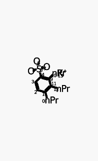 CCCc1ccc(S(=O)(=O)[O-])c(CCC)c1CCC.[K+]